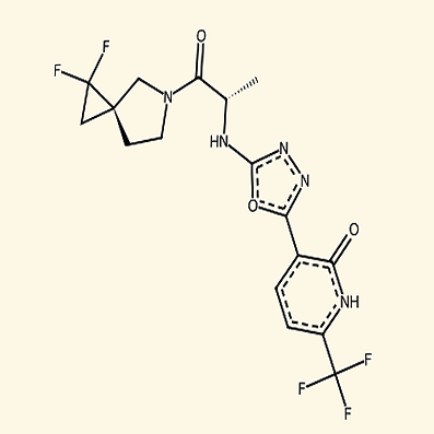 C[C@H](Nc1nnc(-c2ccc(C(F)(F)F)[nH]c2=O)o1)C(=O)N1CC[C@@]2(C1)CC2(F)F